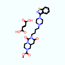 COC(=O)N1CCN2C(=O)N(CCCCN3CCN(c4nsc5ccccc45)CC3)C(=O)CC2C1.O=C(O)/C=C/C(=O)O